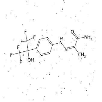 CC(=NNc1ccc(C(O)(C(F)(F)F)C(F)(F)F)cc1)C(N)=O